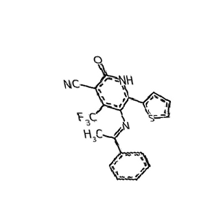 CC(=Nc1c(-c2cccs2)[nH]c(=O)c(C#N)c1C(F)(F)F)c1ccccc1